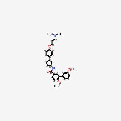 COc1cccc(-c2cc(C(=O)NC3CCC(c4ccc(OCCCN(C)C)cc4)C3)ccc2OC)c1